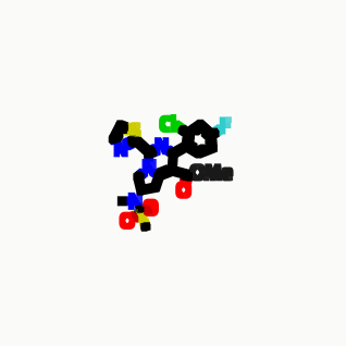 COC(=O)C1=C2C[C@H](N(C)S(C)(=O)=O)CN2C(c2nccs2)=NC1c1ccc(F)cc1Cl